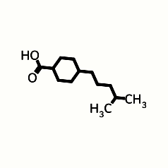 CC(C)CCCC1CCC(C(=O)O)CC1